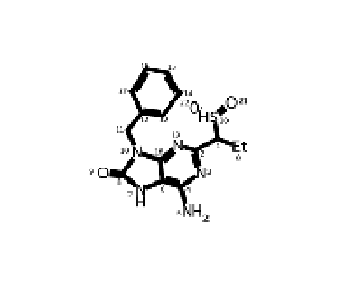 CCC(c1nc(N)c2[nH]c(=O)n(Cc3ccccc3)c2n1)[SH](=O)=O